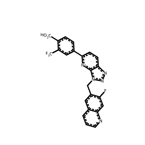 O=C(O)c1ccc(-c2ccc3nnn(Cc4cc5cccnc5cc4F)c3n2)cc1C(F)(F)F